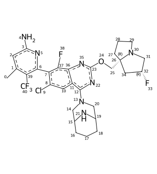 Cc1cc(N)nc(-c2c(Cl)cc3c(N4CC5CCCC(C4)N5)nc(OC[C@]45CCCN4C[C@H](F)C5)nc3c2F)c1C(F)(F)F